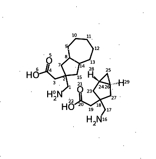 NCC1(CC(=O)O)CC2CCCCCC2C1.NCC1(CC(=O)O)C[C@@H]2C[C@H]2C1